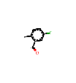 Cc1ccc(F)cc1[C]=O